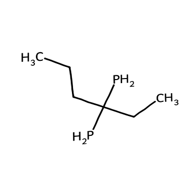 CCCC(P)(P)CC